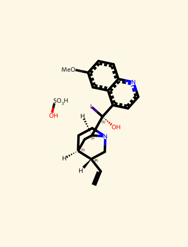 C=C[C@H]1CN2CC[C@H]1C[C@H]2[C@@](O)(I)c1ccnc2ccc(OC)cc12.O=S(=O)(O)O